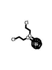 ClCCO[C]12[CH]3[CH]4[CH]5[CH]1[Fe]45321678[CH]2[CH]1[CH]6[C]7(OCCCl)[CH]28